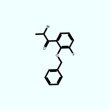 CC(Br)C(=O)c1cccc(F)c1OCc1ccccc1